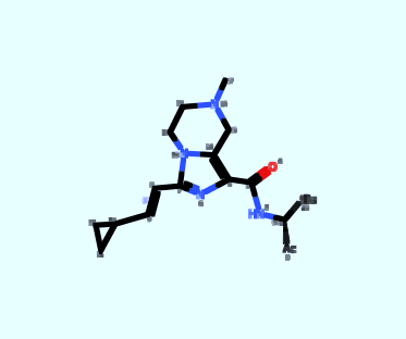 CC(=O)[C@@H](NC(=O)c1nc(/C=C/C2CC2)n2c1CN(C)CC2)C(C)(C)C